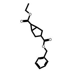 CCOC(=O)C1C2CC(C(=O)OCc3ccccc3)CC21